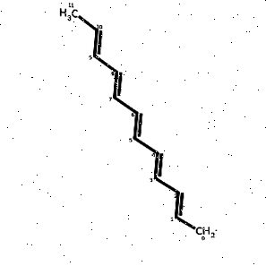 [CH2]C=CC=CC=CC=CC=CC